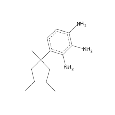 CCCC(C)(CCC)c1ccc(N)c(N)c1N